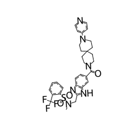 CN(Cc1nc2ccc(C(=O)N3CCC4(CC3)CCN(c3ccncc3)CC4)cc2[nH]1)S(=O)(=O)c1ccccc1C(F)(F)F